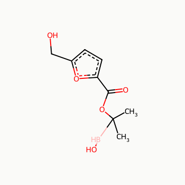 CC(C)(BO)OC(=O)c1ccc(CO)o1